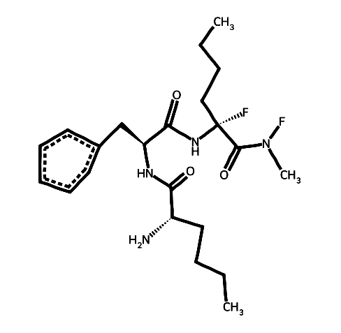 CCCC[C@H](N)C(=O)N[C@@H](Cc1ccccc1)C(=O)N[C@@](F)(CCCC)C(=O)N(C)F